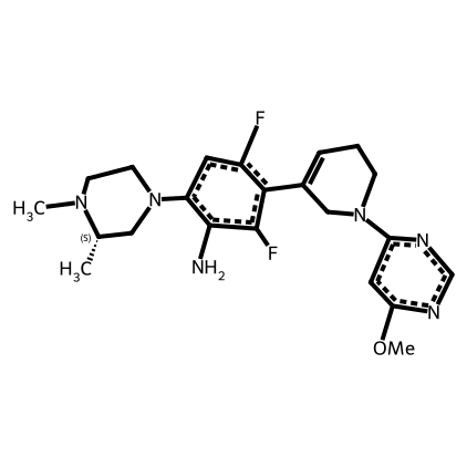 COc1cc(N2CCC=C(c3c(F)cc(N4CCN(C)[C@@H](C)C4)c(N)c3F)C2)ncn1